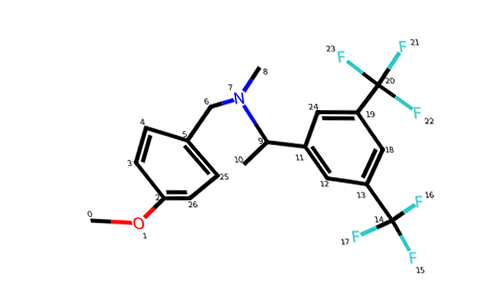 COc1ccc(CN(C)C(C)c2cc(C(F)(F)F)cc(C(F)(F)F)c2)cc1